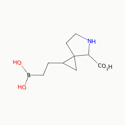 O=C(O)C1NCCC12CC2CCB(O)O